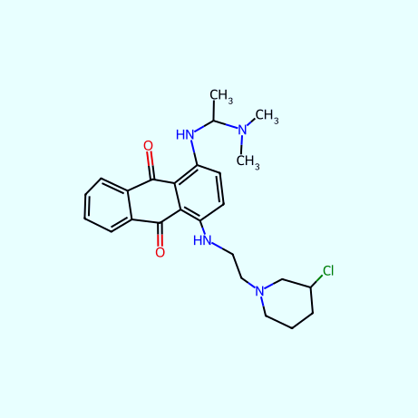 CC(Nc1ccc(NCCN2CCCC(Cl)C2)c2c1C(=O)c1ccccc1C2=O)N(C)C